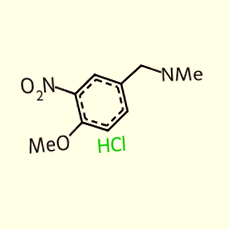 CNCc1ccc(OC)c([N+](=O)[O-])c1.Cl